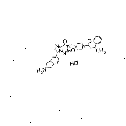 C[C@H](CC(=O)N1CCC(O)(Cn2cnn3c(-c4ccc5c(c4)CC(N)C5)cnc3c2=O)CC1)c1ccccc1.Cl